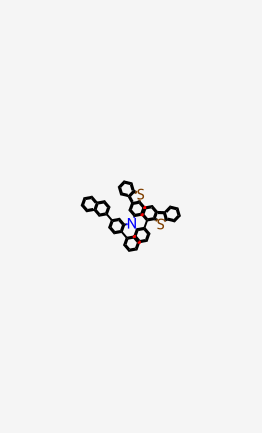 c1ccc(-c2ccc(-c3ccc4ccccc4c3)cc2N(c2ccc3sc4ccccc4c3c2)c2ccccc2-c2cccc3c2sc2ccccc23)cc1